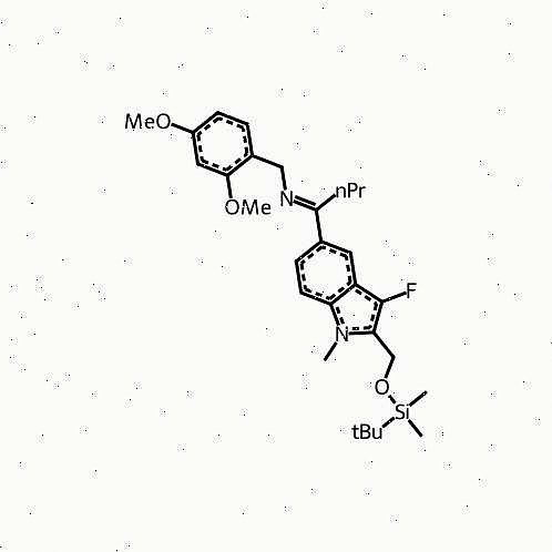 CCCC(=NCc1ccc(OC)cc1OC)c1ccc2c(c1)c(F)c(CO[Si](C)(C)C(C)(C)C)n2C